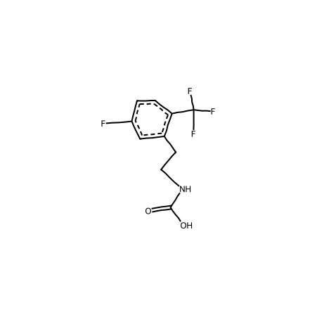 O=C(O)NCCc1cc(F)ccc1C(F)(F)F